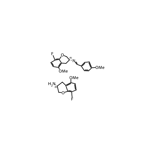 COc1ccc(C=N[C@H]2COc3c(F)ccc(OC)c3C2)cc1.COc1ccc(F)c2c1C[C@@H](N)CO2